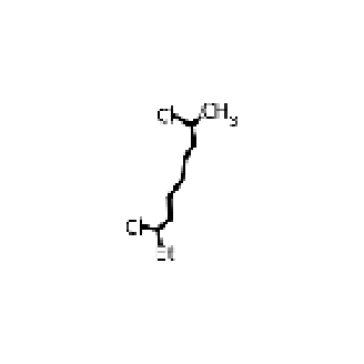 CCC(Cl)CCCCCC(C)Cl